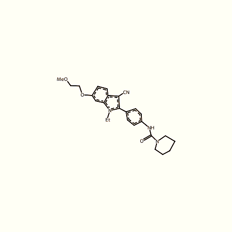 CCn1c(-c2ccc(NC(=O)N3CCCCC3)cc2)c(C#N)c2ccc(OCCOC)cc21